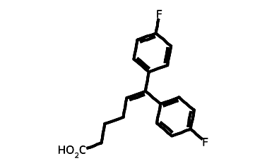 O=C(O)CCCC=C(c1ccc(F)cc1)c1ccc(F)cc1